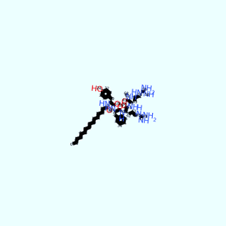 CCCCCCCCCCCCCCCC(=O)N[C@@H](Cc1ccc(O)cc1)C(=O)N[C@@H](Cc1ccccc1)C(=O)N[C@@H](CCCNC(=N)N)C(=O)N[C@@H](CCCNC(=N)N)C(=O)NC